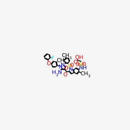 Cc1ccc(S(=O)(=O)n2c(C(=O)c3cnn(-c4ccc(Oc5ccccc5F)cc4C)c3N)cc3cc(C)c(NS(=O)(=O)CC(=O)O)cc32)cc1